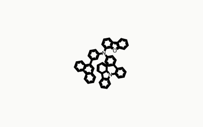 C1=CC2c3ccccc3N(c3ccccc3-c3ccc(N(c4cccc(-c5cc6ccccc6c6ccccc56)c4)c4cccc5c4oc4ccccc45)cc3)C2C=C1